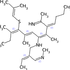 C/C=C(\C=N/C)CNC(/C=C(C)/C(SC=C(C)C)=C(/C)CC)=C(C)/C(=C/CCC)C(C)=N